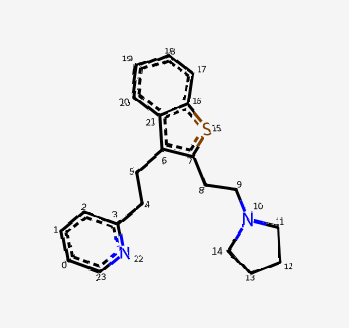 c1ccc(CCc2c(CCN3CCCC3)sc3ccccc23)nc1